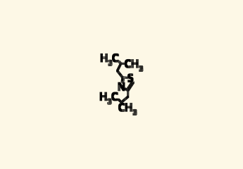 CC(C)Cc1csc(CC(C)C)n1